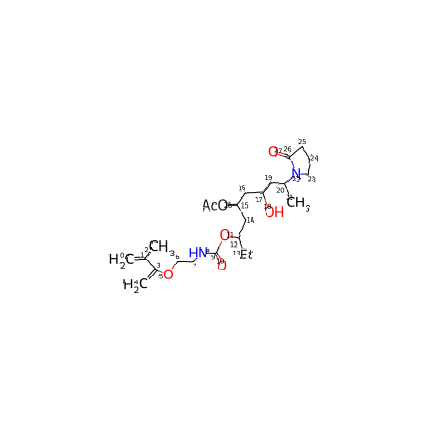 C=C(C)C(=C)OCCNC(=O)OC(CC)CC(CC(O)CC(C)N1CCCC1=O)OC(C)=O